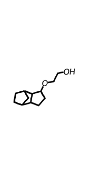 OCCOC1CCC2C3CCC(C3)C12